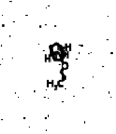 C=CCOC1C[C@H]2CC[C@@H](C1)N2